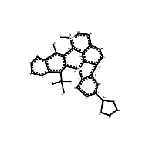 Cc1c2ccccc2c(C(C)(C)C)c2c1c1c3c(ccc4c5cc(C6CCCC6)ccc5n2c43)cc[n+]1C